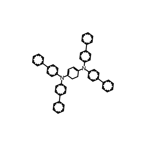 C1=C(N(c2ccc(-c3ccccc3)cc2)c2ccc(-c3ccccc3)cc2)CCC(N(c2ccc(-c3ccccc3)cc2)c2ccc(-c3ccccc3)cc2)=C1